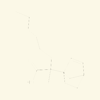 CCCCCCC(C)(C(=O)O)C12C=CC(CC1)C2